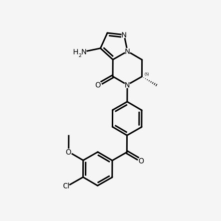 COc1cc(C(=O)c2ccc(N3C(=O)c4c(N)cnn4C[C@@H]3C)cc2)ccc1Cl